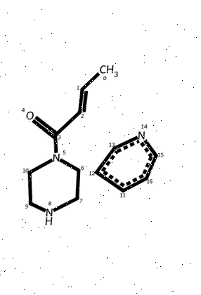 CC=CC(=O)N1CCNCC1.c1ccncc1